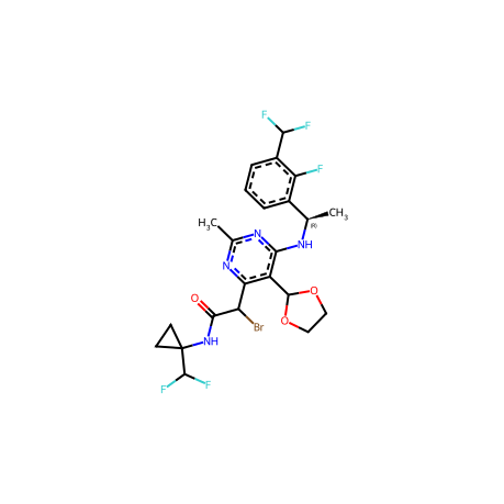 Cc1nc(N[C@H](C)c2cccc(C(F)F)c2F)c(C2OCCO2)c(C(Br)C(=O)NC2(C(F)F)CC2)n1